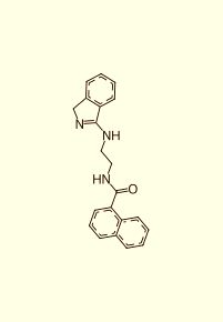 O=C(NCCNC1=NCc2ccccc21)c1cccc2ccccc12